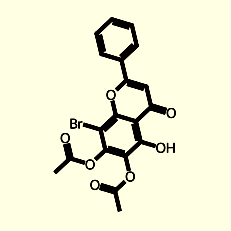 CC(=O)Oc1c(OC(C)=O)c(O)c2c(=O)cc(-c3ccccc3)oc2c1Br